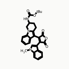 Cn1cc(C2=C(c3c4n(c5ccccc35)CC(NC(=O)OC(C)(C)C)CC4)C(=O)OC2=O)c2ccccc21